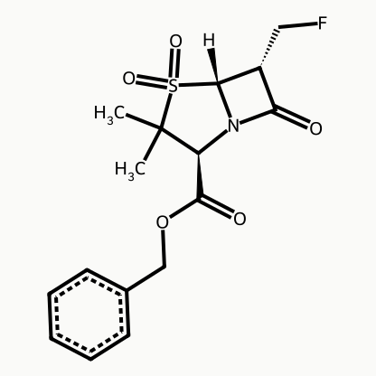 CC1(C)[C@H](C(=O)OCc2ccccc2)N2C(=O)[C@@H](CF)[C@H]2S1(=O)=O